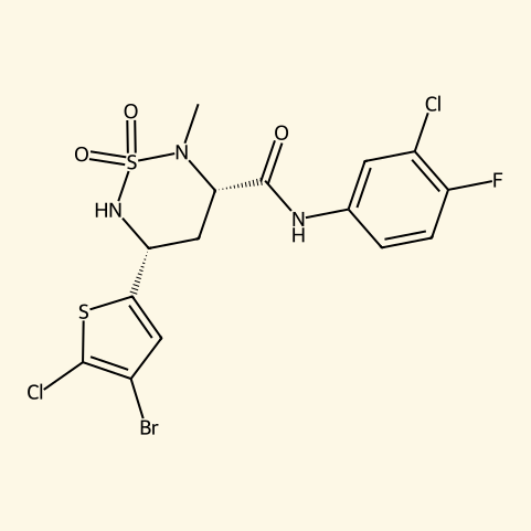 CN1[C@H](C(=O)Nc2ccc(F)c(Cl)c2)C[C@H](c2cc(Br)c(Cl)s2)NS1(=O)=O